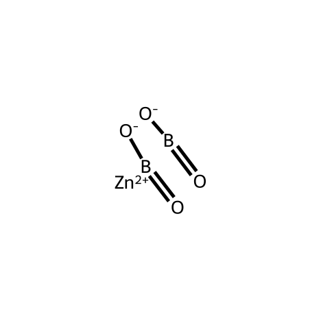 O=B[O-].O=B[O-].[Zn+2]